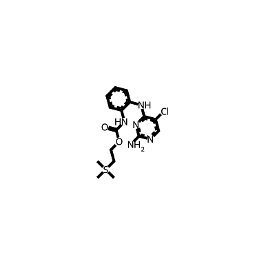 CS(C)(C)CCOC(=O)Nc1ccccc1Nc1nc(N)ncc1Cl